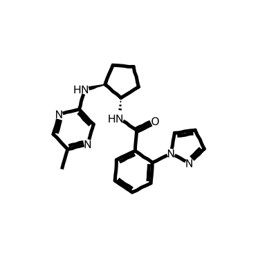 Cc1cnc(N[C@H]2CCC[C@@H]2NC(=O)c2ccccc2-n2cccn2)cn1